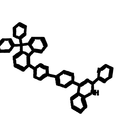 C1=C(c2ccc(-c3ccc(-c4cccc5c4-c4ccccc4C5(c4ccccc4)c4ccccc4)cc3)cc2)c2ccccc2NC1c1ccccn1